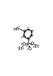 CCCc1cccc(P(=O)(OCC)OCC)c1